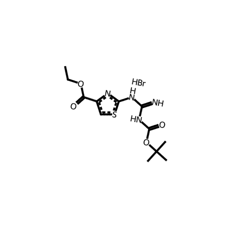 Br.CCOC(=O)c1csc(NC(=N)NC(=O)OC(C)(C)C)n1